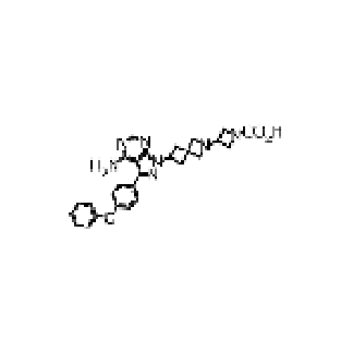 Nc1ncnc2c1c(-c1ccc(Oc3ccccc3)cc1)nn2C1CC2(C1)CN(C1CN(C(=O)O)C1)C2